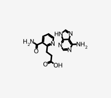 NC(=O)c1cccnc1CCC(=O)O.Nc1ncnc2[nH]cnc12